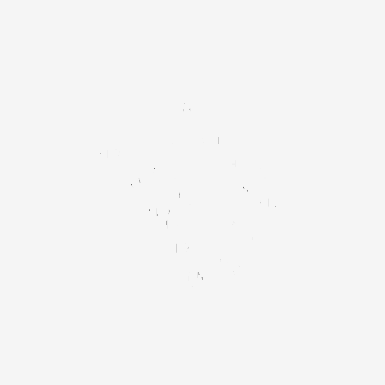 C[C@H]1c2c(Br)ccc(O)c2C(=O)C2=C(O)[C@]3(O)C(O)C(C(N)=O)C(=O)[C@@H](N(C)C)[C@@H]3[C@@H](O)[C@@H]21